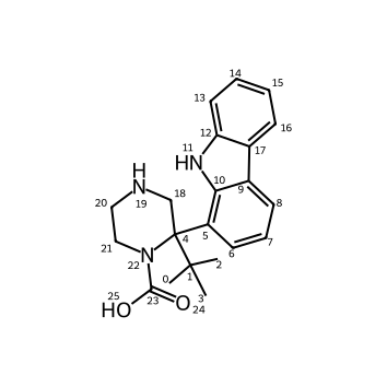 CC(C)(C)C1(c2cccc3c2[nH]c2ccccc23)CNCCN1C(=O)O